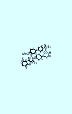 CCS(=O)(=O)c1ccc(-c2ccc(OC)c(CN(C(=O)c3sc4c(F)ccc(F)c4c3Cl)C3CCC(N(CC(C)(C)C)C(=O)O)CC3)c2)cc1